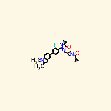 Cc1cc2cc(-c3ccc(C4=NC5(CC5)C(=O)N4CC4CN(C(=O)C5CC5)C4)c(F)c3)ccc2n1C